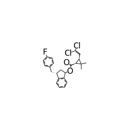 CC1(C)[C@H](C=C(Cl)Cl)[C@@H]1C(=O)O[C@@H]1C[C@@H](Cc2ccc(F)cc2)c2ccccc21